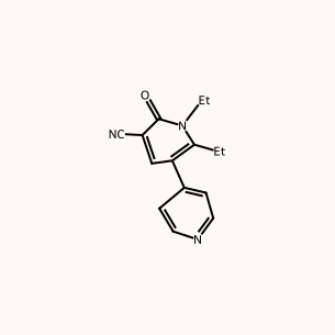 CCc1c(-c2ccncc2)cc(C#N)c(=O)n1CC